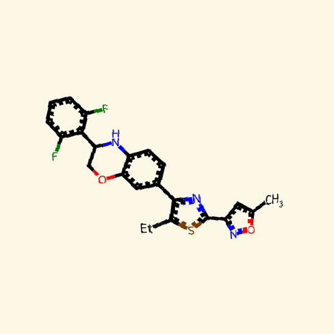 CCc1sc(-c2cc(C)on2)nc1-c1ccc2c(c1)OCC(c1c(F)cccc1F)N2